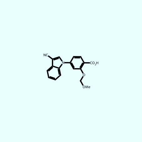 COCOc1cc(-n2cc(C#N)c3ccccc32)ccc1C(=O)O